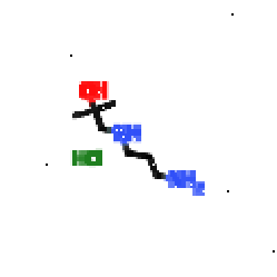 CC(C)(O)CNCCCN.Cl